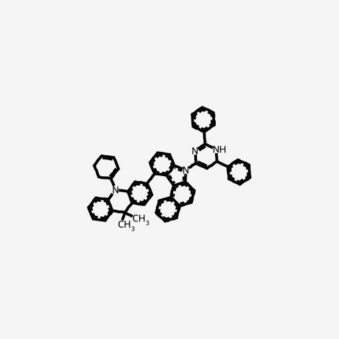 CC1(C)c2ccccc2N(C2=CC=CCC2)c2cc(-c3cccc4c3c3c5ccccc5ccc3n4C3=CC(c4ccccc4)NC(c4ccccc4)=N3)ccc21